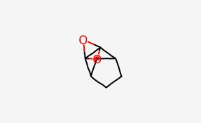 C1CC2CC1C13OC21O3